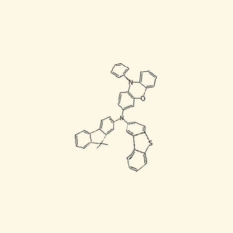 CC1(C)c2ccccc2-c2ccc(N(c3ccc4c(c3)Oc3ccccc3N4c3ccccc3)c3ccc4sc5ccccc5c4c3)cc21